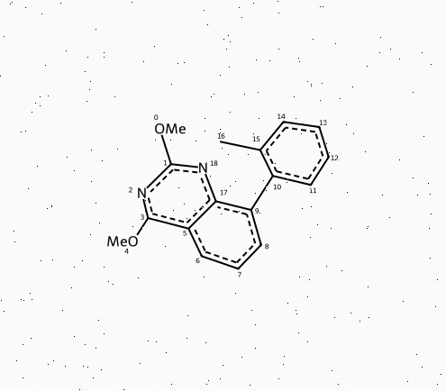 COc1nc(OC)c2cccc(-c3ccccc3C)c2n1